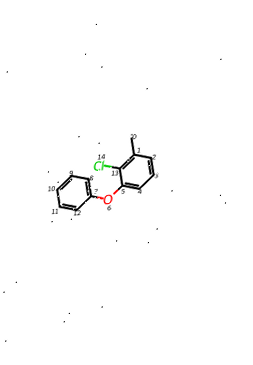 [CH2]c1cccc(Oc2ccccc2)c1Cl